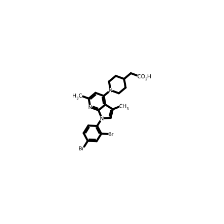 Cc1cc(N2CCC(CC(=O)O)CC2)c2c(C)cn(-c3ccc(Br)cc3Br)c2n1